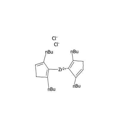 CCCCC1=CCC(CCCC)=[C]1[Zr+2][C]1=C(CCCC)CC=C1CCCC.[Cl-].[Cl-]